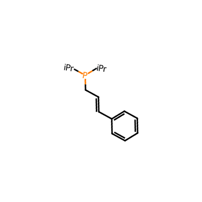 CC(C)P(CC=Cc1ccccc1)C(C)C